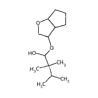 CC(C)C(C)(C)C(O)OC1COC2CCCC21